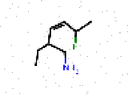 CCC(/C=C\C(C)F)CN